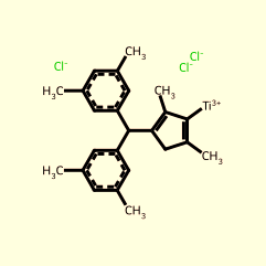 CC1=[C]([Ti+3])C(C)=C(C(c2cc(C)cc(C)c2)c2cc(C)cc(C)c2)C1.[Cl-].[Cl-].[Cl-]